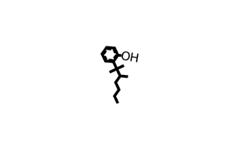 CCCCC(C)C(C)(C)c1ccccc1O